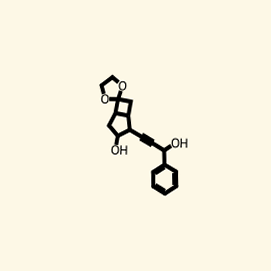 OC(C#CC1C(O)CC2C1CC21OCCO1)c1ccccc1